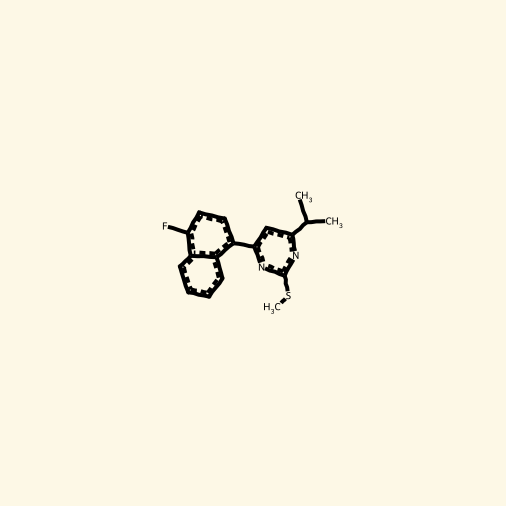 CSc1nc(-c2ccc(F)c3ccccc23)cc(C(C)C)n1